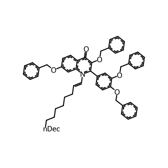 CCCCCCCCCCCCCCCCC=Cn1c(-c2ccc(OCc3ccccc3)c(OCc3ccccc3)c2)c(OCc2ccccc2)c(=O)c2ccc(OCc3ccccc3)cc21